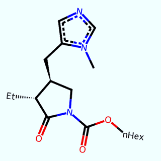 CCCCCCOC(=O)N1C[C@H](Cc2cncn2C)[C@@H](CC)C1=O